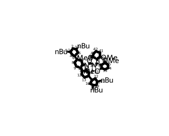 CCCCc1cc(CCCC)cc(-c2ccc3c4ccc(-c5cc(CCCC)cc(CCCC)c5)cc4n(C(=O)NP(c4c(OC)cccc4OC)c4c(OC)cccc4OC)c3c2)c1